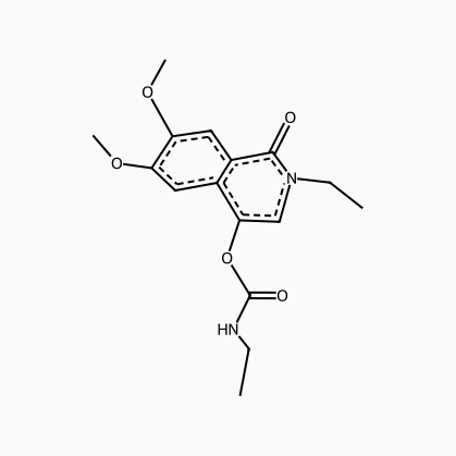 CCNC(=O)Oc1cn(CC)c(=O)c2cc(OC)c(OC)cc12